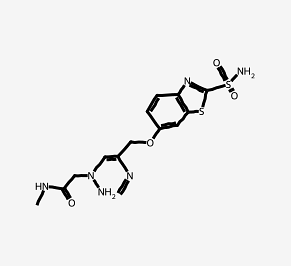 C=N/C(=C\N(N)CC(=O)NC)COc1ccc2nc(S(N)(=O)=O)sc2c1